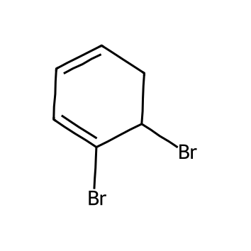 BrC1=CC=CCC1Br